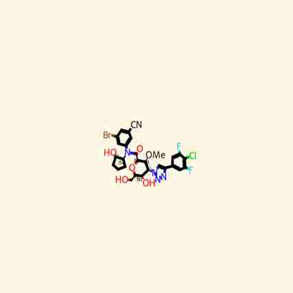 CO[C@@H]1[C@@H](n2cc(-c3cc(F)c(Cl)c(F)c3)nn2)[C@@H](O)[C@@H](CO)O[C@H]1C(=O)N(c1cc(Br)cc(C#N)c1)[C@H]1CCC[C@@H]1O